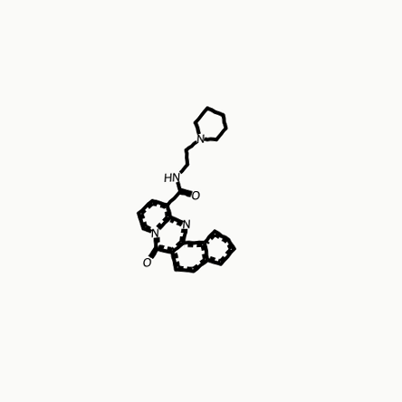 O=C(NCCN1CCCCC1)c1cccn2c(=O)c3ccc4ccccc4c3nc12